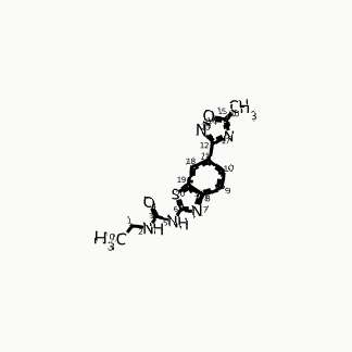 CCNC(=O)Nc1nc2ccc(-c3noc(C)n3)cc2s1